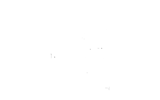 CC(=O)Oc1ccc(Br)cc1C#N